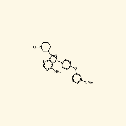 COc1cccc(Oc2ccc(-c3nn(C4CCCN(Cl)C4)c4ncnc(N)c34)cc2)c1